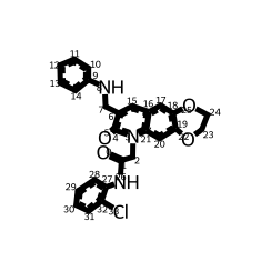 O=C(Cn1c(=O)c(CNc2ccccc2)cc2cc3c(cc21)OCCO3)Nc1ccccc1Cl